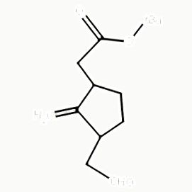 C=C1C(CC=O)CCC1CC(=O)OC(C)(C)C